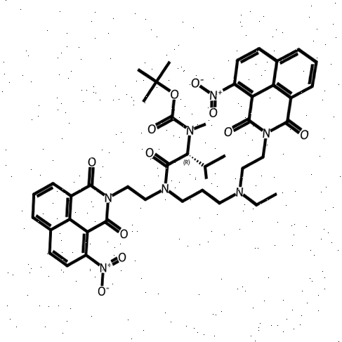 CCN(CCCN(CCN1C(=O)c2cccc3ccc([N+](=O)[O-])c(c23)C1=O)C(=O)[C@@H](C(C)C)N(C)C(=O)OC(C)(C)C)CCN1C(=O)c2cccc3ccc([N+](=O)[O-])c(c23)C1=O